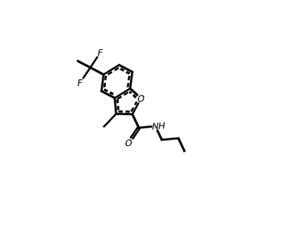 CCCNC(=O)c1oc2ccc(C(C)(F)F)cc2c1C